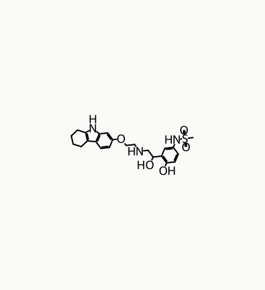 CS(=O)(=O)Nc1ccc(O)c(C(O)CNCCOc2ccc3c4c([nH]c3c2)CCCC4)c1